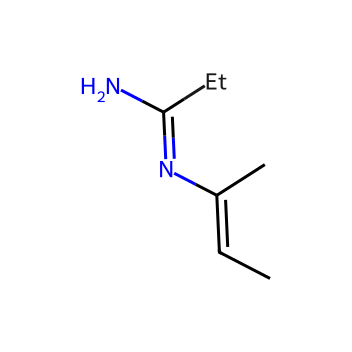 C/C=C(C)/N=C(/N)CC